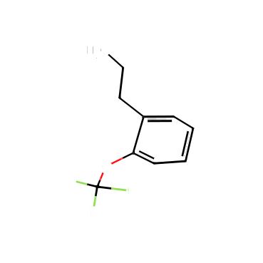 [CH2]CCc1ccccc1OC(F)(F)F